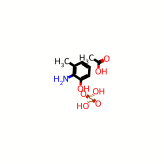 CC(=O)O.Cc1cccc(O)c1N.O=S(=O)(O)O